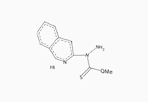 COC(=S)N(N)c1cc2ccccc2cn1.I